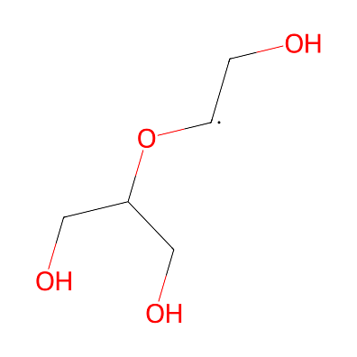 OC[CH]OC(CO)CO